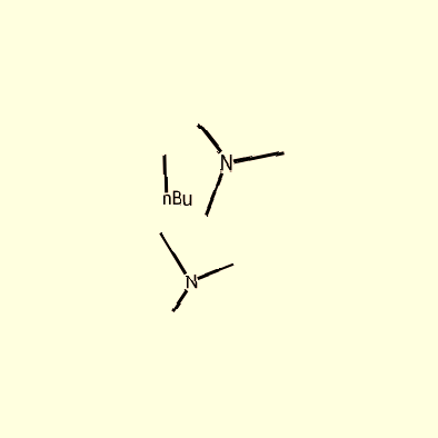 CCCCC.CN(C)C.CN(C)C